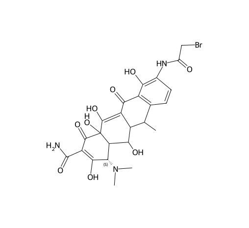 CC1c2ccc(NC(=O)CBr)c(O)c2C(=O)C2=C(O)C3(O)C(=O)C(C(N)=O)=C(O)[C@@H](N(C)C)C3C(O)C21